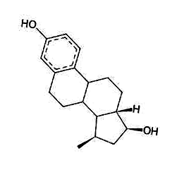 C[C@@H]1C[C@H](O)[C@H]2CCC3c4ccc(O)cc4CCC3C12